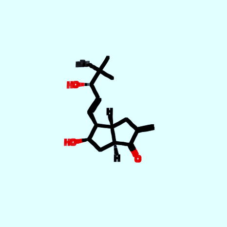 C=C1C[C@H]2[C@H](C=C[C@H](O)C(C)(C)CCCC)[C@H](O)C[C@@H]2C1=O